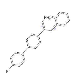 C=c1cccc/c1=C/C(=C\N)c1ccc(-c2ccc(F)cc2)cc1